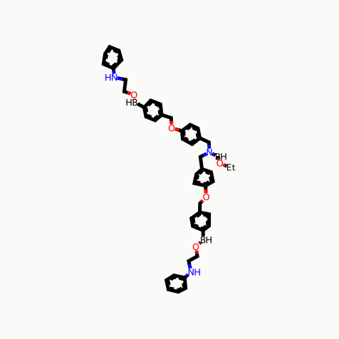 CCOBN(Cc1ccc(OCc2ccc(BOCCNc3ccccc3)cc2)cc1)Cc1ccc(OCc2ccc(BOCCNc3ccccc3)cc2)cc1